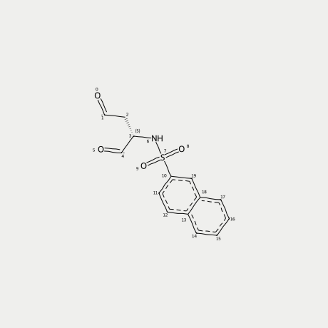 O=[C]C[C@@H]([C]=O)NS(=O)(=O)c1ccc2ccccc2c1